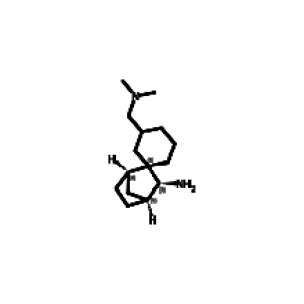 CN(C)CC1CCC[C@]2(C1)[C@@H]1CC[C@@H](C1)[C@H]2N